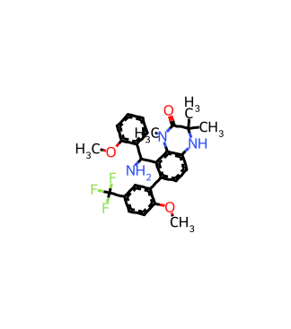 COc1ccc(C(F)(F)F)cc1-c1ccc2c(c1C(N)c1ccccc1OC)N(C)C(=O)C(C)(C)N2